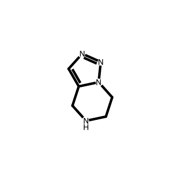 c1nnn2c1CNCC2